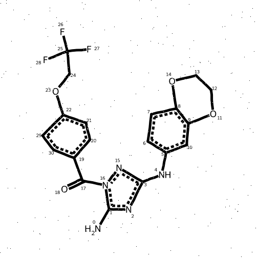 Nc1nc(Nc2ccc3c(c2)OCCO3)nn1C(=O)c1ccc(OCC(F)(F)F)cc1